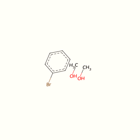 Brc1ccccc1.CO.CO